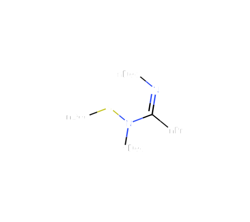 CCCCCCCCCCN=C(CCC)N(CCCCCCCCCC)SCCCCCCCCCC